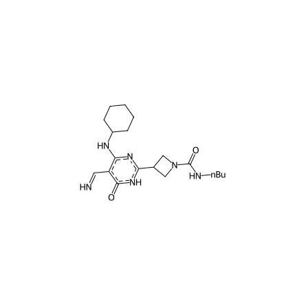 CCCCNC(=O)N1CC(c2nc(NC3CCCCC3)c(C=N)c(=O)[nH]2)C1